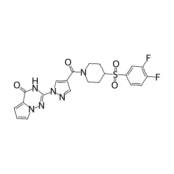 O=C(c1cnn(-c2nn3cccc3c(=O)[nH]2)c1)N1CCC(S(=O)(=O)c2ccc(F)c(F)c2)CC1